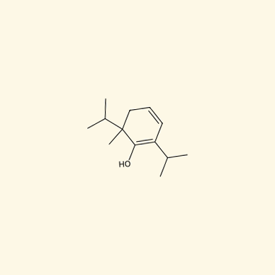 CC(C)C1=C(O)C(C)(C(C)C)CC=C1